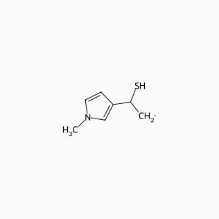 [CH2]C(S)c1ccn(C)c1